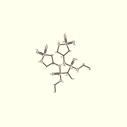 CCOP(=O)(OC1COS(=O)(=O)C1)C(C)P(=O)(OCC)OC1COS(=O)(=O)C1